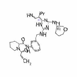 C=CC(=O)N1CCCCC1C(=O)Nc1cccc(CNC2=NC(N[C@H]3CCCOC3)=N/C(=C(/C=N)C(C)C)N2)c1